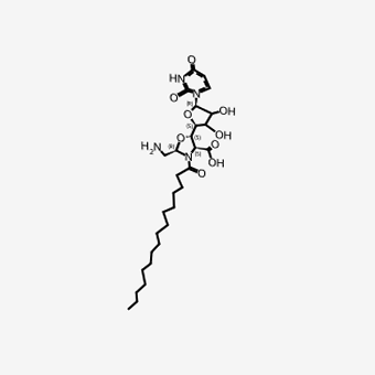 CCCCCCCCCCCCCCCC(=O)N1[C@H](C(=O)O)[C@@H]([C@H]2O[C@@H](n3ccc(=O)[nH]c3=O)C(O)C2O)O[C@@H]1CN